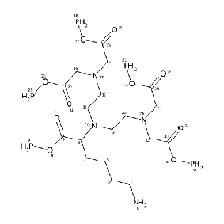 NCCCCC(C(=O)OP)N(CCN(CC(=O)OP)CC(=O)OP)CCN(CC(=O)OP)CC(=O)OP